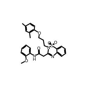 COc1ccccc1NC(=O)CC1=Nc2ccccc2S(=O)(=O)N1CCCOc1ccc(C)cc1C